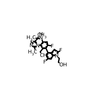 CCc1c(-c2cc(F)cc3c2cc(F)n3CCO)c(F)cc2c1-n1c(C)nnc1C(C)(C)N2